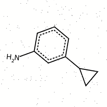 Nc1c[c]cc(C2CC2)c1